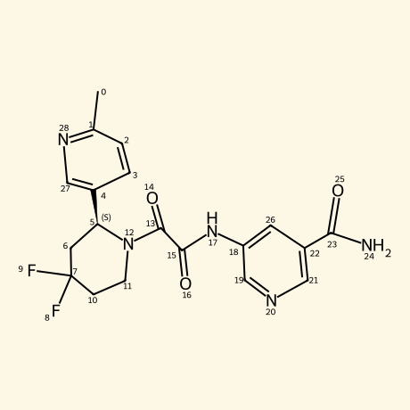 Cc1ccc([C@@H]2CC(F)(F)CCN2C(=O)C(=O)Nc2cncc(C(N)=O)c2)cn1